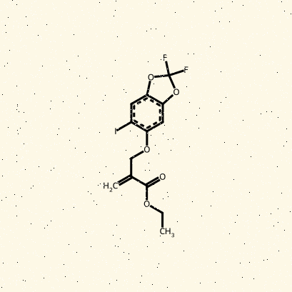 C=C(COc1cc2c(cc1I)OC(F)(F)O2)C(=O)OCC